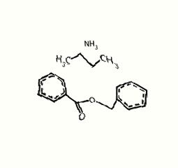 CCCC.N.O=C(OCc1ccccc1)c1ccccc1